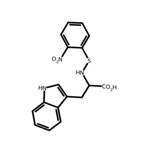 O=C(O)C(Cc1c[nH]c2ccccc12)NSc1ccccc1[N+](=O)[O-]